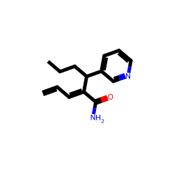 C=C/C=C(/C(N)=O)C(CCC)c1cccnc1